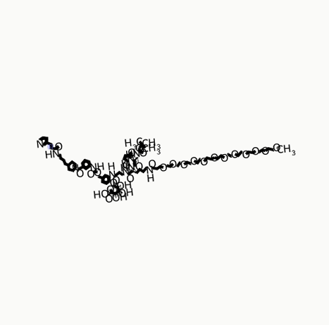 COCCOCCOCCOCCOCCOCCOCCOCCOCCOCCOCCOCCC(=O)NCCCC[C@H](NC(=O)[C@H](CNC(=O)OC(C)(C)C)N1C(=O)C=CC1=O)C(=O)NCCC(=O)Nc1cc(COC(=O)Nc2cccc(C(=O)N3CCC(CCCCNC(=O)/C=C/c4cccnc4)CC3)c2)ccc1O[C@@H]1O[C@H](C(=O)O)[C@@H](O)[C@H](O)[C@H]1O